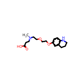 CN(CCOCCOc1ccc2c(c1)CCCN2)CCC(=O)O